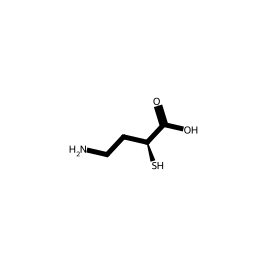 NCC[C@H](S)C(=O)O